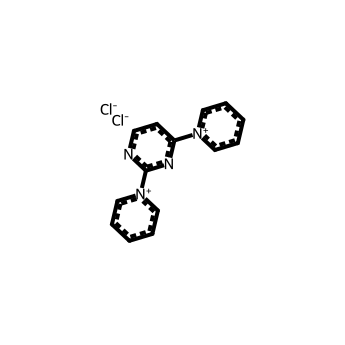 [Cl-].[Cl-].c1cc[n+](-c2ccnc(-[n+]3ccccc3)n2)cc1